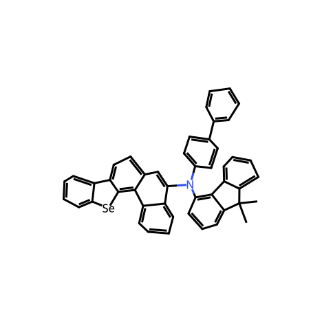 CC1(C)c2ccccc2-c2c(N(c3ccc(-c4ccccc4)cc3)c3cc4ccc5c6ccccc6[se]c5c4c4ccccc34)cccc21